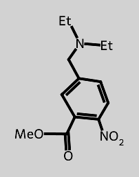 CCN(CC)Cc1ccc([N+](=O)[O-])c(C(=O)OC)c1